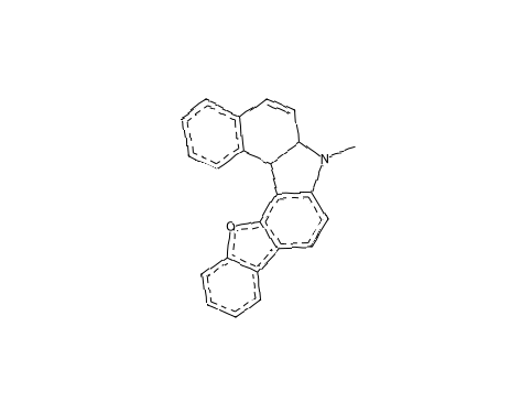 CN1c2ccc3c(oc4ccccc43)c2C2c3ccccc3C=CC21